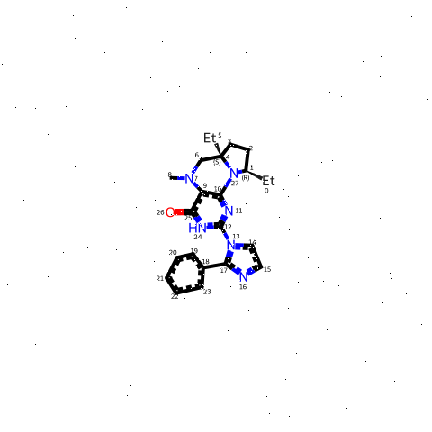 CC[C@@H]1CC[C@@]2(CC)CN(C)c3c(nc(-n4ccnc4-c4ccccc4)[nH]c3=O)N12